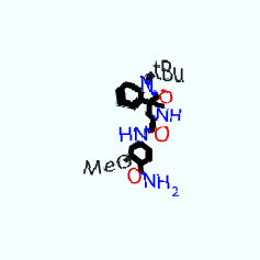 COc1cc(NC(=O)C2CC3(CN2)C(=O)N(CC(C)(C)C)c2ccccc23)ccc1C(N)=O